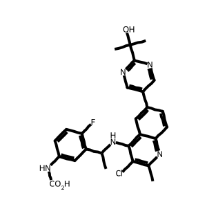 Cc1nc2ccc(-c3cnc(C(C)(C)O)nc3)cc2c(NC(C)c2cc(NC(=O)O)ccc2F)c1Cl